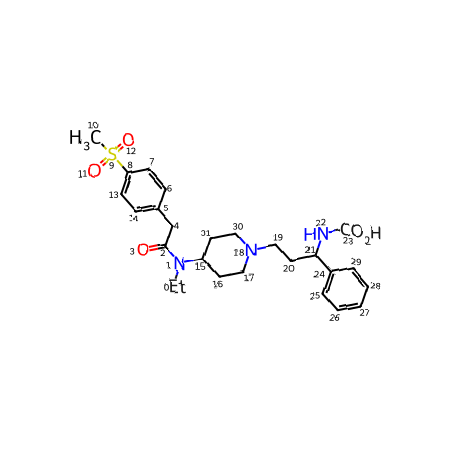 CCN(C(=O)Cc1ccc(S(C)(=O)=O)cc1)C1CCN(CCC(NC(=O)O)c2ccccc2)CC1